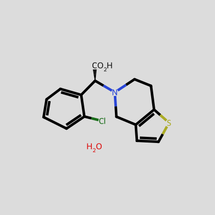 O.O=C(O)[C@H](c1ccccc1Cl)N1CCc2sccc2C1